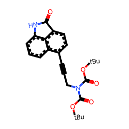 CC(C)(C)OC(=O)N(CC#Cc1ccc2c3c(cccc13)NC2=O)C(=O)OC(C)(C)C